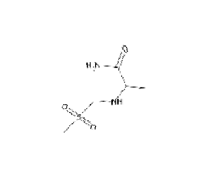 CC(NCS(C)(=O)=O)C(N)=O